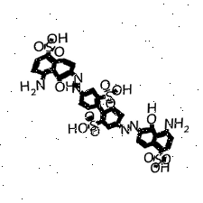 Nc1ccc(S(=O)(=O)O)c2ccc(N=Nc3ccc(-c4ccc(N=Nc5ccc6c(S(=O)(=O)O)ccc(N)c6c5O)cc4S(=O)(=O)O)c(S(=O)(=O)O)c3)c(O)c12